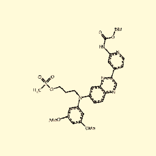 COc1cc(OC)cc(N(CCCOS(C)(=O)=O)c2ccc3ncc(-c4ccnc(NC(=O)OC(C)(C)C)c4)nc3c2)c1